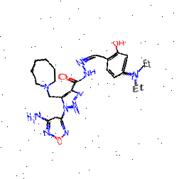 CCN(CC)c1ccc(/C=N\NC(=O)c2nnn(-c3nonc3N)c2CN2CCCCCC2)c(O)c1